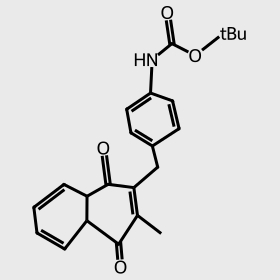 CC1=C(Cc2ccc(NC(=O)OC(C)(C)C)cc2)C(=O)C2C=CC=CC2C1=O